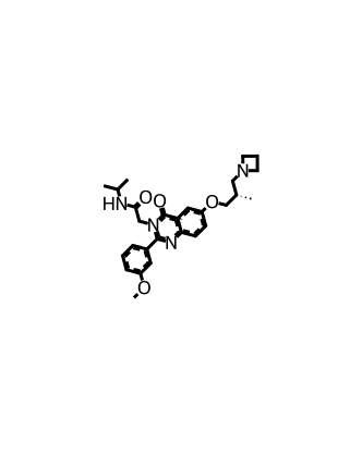 COc1cccc(-c2nc3ccc(OC[C@@H](C)CN4CCC4)cc3c(=O)n2CC(=O)NC(C)C)c1